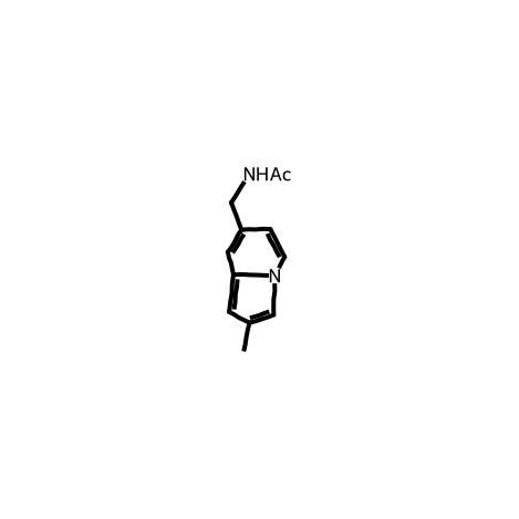 CC(=O)NCc1ccn2cc(C)cc2c1